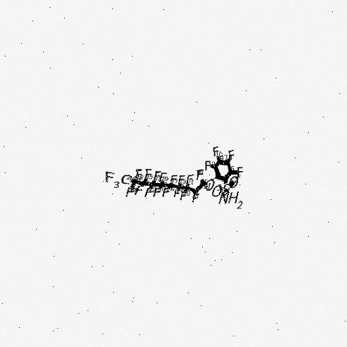 NS(=O)(=O)c1c(F)c(F)c(F)c(F)c1OC(F)=C(F)C(F)(F)C(F)(F)C(F)(F)C(F)(F)C(F)(F)C(F)(F)C(F)(F)C(F)(F)F